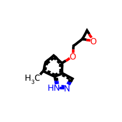 Cc1ccc(OCC2CO2)c2cn[nH]c12